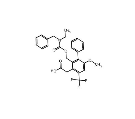 CCN(Cc1ccccc1)C(=O)OCc1c(CC(=O)O)c(C(F)(F)F)cc(OC)c1-c1ccccc1